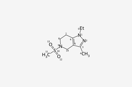 CCn1nc(C)c2c1CCN(S(C)(=O)=O)C2